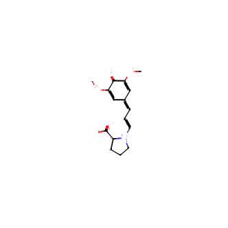 COC1=CC(=C/C=C/N2CCCC2C(=O)O)C=C(OC)C1=O